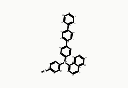 CCCc1ccc(N(c2ccc(-c3ccc(-c4ccccc4)cc3)cc2)c2cccc3ccccc23)cc1